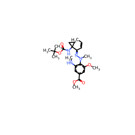 C/C=C\C(=N/N(C)c1c(NC)cc(C(=O)OC)cc1OC)C1(NC(=O)OC(C)(C)C)CC1